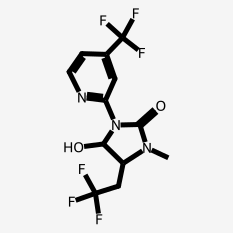 CN1C(=O)N(c2cc(C(F)(F)F)ccn2)C(O)C1CC(F)(F)F